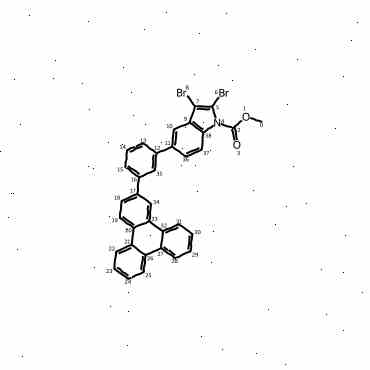 COC(=O)n1c(Br)c(Br)c2cc(-c3cccc(-c4ccc5c6ccccc6c6ccccc6c5c4)c3)ccc21